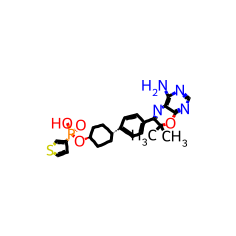 CC1(C)Oc2ncnc(N)c2N=C1c1ccc([C@H]2CC[C@H](OP(=O)(O)c3ccsc3)CC2)cc1